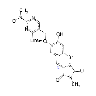 COc1nc([S+](C)[O-])ncc1COc1cc(/C=C2\SC(=O)N(C)C2=O)c(Br)cc1O